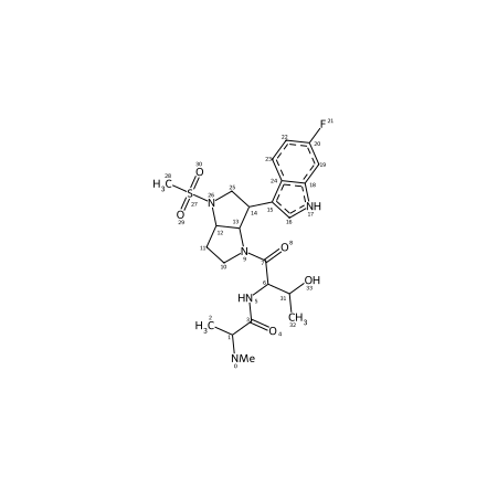 CNC(C)C(=O)NC(C(=O)N1CCC2C1C(c1c[nH]c3cc(F)ccc13)CN2S(C)(=O)=O)C(C)O